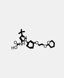 CC(C)(C)c1cc(NC(=O)O)n(-c2cccc(OCCOC3CCCCO3)c2)n1